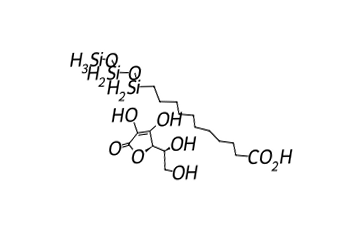 O=C(O)CCCCCCCCCC[SiH2]O[SiH2]O[SiH3].O=C1O[C@H]([C@@H](O)CO)C(O)=C1O